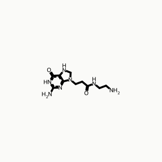 NCCNC(=O)CCN1CNc2c1nc(N)[nH]c2=O